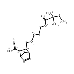 CCC(C)(C)C(=O)OCCOOCC1C2C=CC(C2)C1C(=O)O